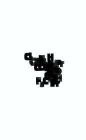 Cc1c(C(=O)N[C@H](C(=O)N2CCC[C@H]2C(=O)N[C@H](C(=O)C(F)(F)F)C(C)C)C(C)C)cnn1-c1cc(Cl)ccc1Cl